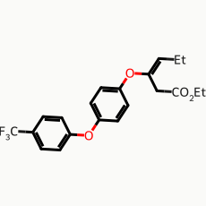 CCC=C(CC(=O)OCC)Oc1ccc(Oc2ccc(C(F)(F)F)cc2)cc1